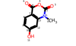 Cn1c(=O)oc(=O)c2ccc(O)cc21